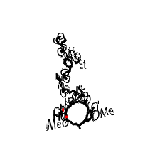 CCC(=O)CNc1cc(COC(=O)N(C)CCN(C)C(=O)OCCC(=O)N(C)[C@@H](C)C(=O)O[C@H]2CC(=O)Cc3cc(cc(OC)c3Cl)C/C(C)=C/C=C/[C@@H](OC)[C@@]3(O)C[C@H](OC(=O)N3)[C@@H](C)[C@@H]3O[C@@]23C)ccc1NC(=O)OC1/C=C/COCOC1